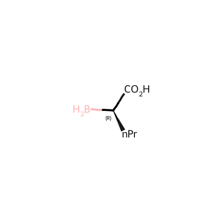 B[C@H](CCC)C(=O)O